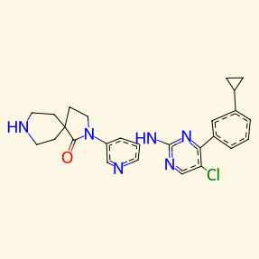 O=C1N(c2cncc(Nc3ncc(Cl)c(-c4cccc(C5CC5)c4)n3)c2)CCC12CCNCC2